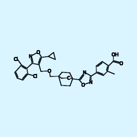 Cc1cc(-c2noc(C34CCC(COCc5c(-c6c(Cl)cccc6Cl)noc5C5CC5)(CC3)CC4)n2)ccc1C(=O)O